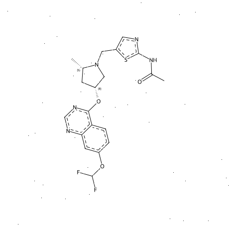 CC(=O)Nc1ncc(CN2C[C@H](Oc3ncnc4cc(OC(F)F)ccc34)C[C@@H]2C)s1